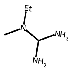 CCN(C)C(N)N